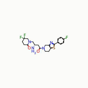 N[C@@H](CC(=O)N1CCc2sc(-c3ccc(F)cc3)nc2C1)CN1CC(F)(F)CCC1=O